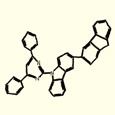 c1ccc(-c2cc(-c3ccccc3)nc(-n3c4ccccc4c4cc(-c5ccc6c(c5)-c5ccccc5C6)ccc43)n2)cc1